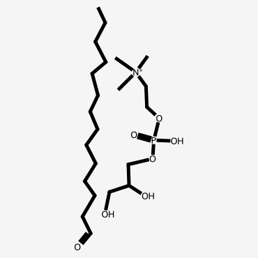 CCCCCCCCCCCCCC=O.C[N+](C)(C)CCOP(=O)(O)OCC(O)CO